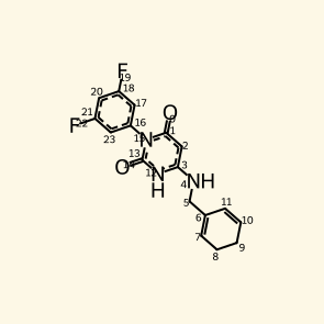 O=c1cc(NCC2=CCCC=C2)[nH]c(=O)n1-c1cc(F)cc(F)c1